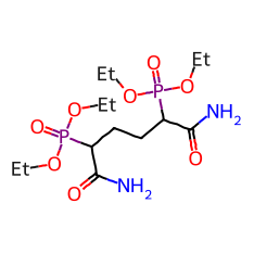 CCOP(=O)(OCC)C(CCC(C(N)=O)P(=O)(OCC)OCC)C(N)=O